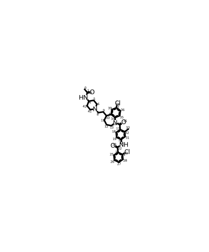 CC(=O)NC1CCN(CCC2CCCN(C(=O)c3ccc(NC(=O)c4ccccc4Cl)cc3C)c3ccc(Cl)cc32)CC1